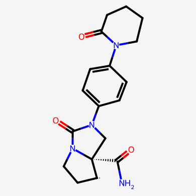 NC(=O)[C@]12[CH]CCN1C(=O)N(c1ccc(N3CCCCC3=O)cc1)C2